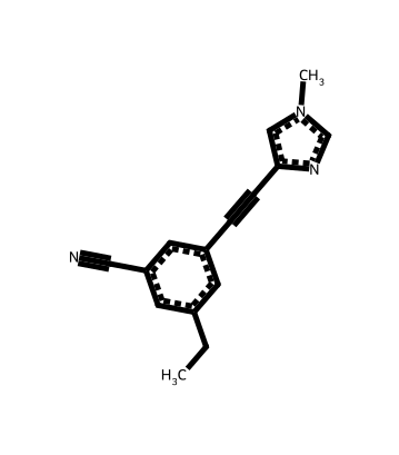 CCc1cc(C#N)cc(C#Cc2cn(C)cn2)c1